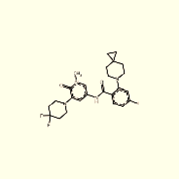 Cn1cc(NC(=O)c2ccc(I)cc2N2CCC3(CC2)CC3)cc(N2CCC(F)(F)CC2)c1=O